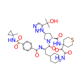 CC1(NS(=O)(=O)c2ccc(C(=O)/N=C(\CC3CCCCC3)C(=O)N3C[C@@H](n4nncc4C(C)(C)O)C[C@H]3C(=O)NC3(C(=O)C(N)=O)CCSCC3)cc2)CC1